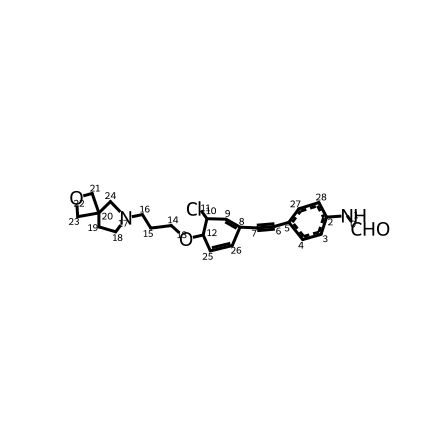 O=CNc1ccc(C#CC2=CC(Cl)C(OCCCN3CCC4(COC4)C3)C=C2)cc1